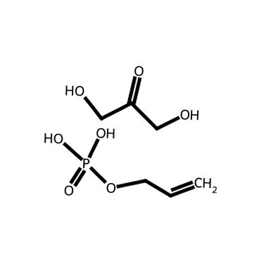 C=CCOP(=O)(O)O.O=C(CO)CO